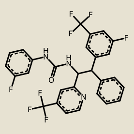 O=C(Nc1cccc(F)c1)NC(c1cc(C(F)(F)F)ccn1)C(c1ccccc1)c1cc(F)cc(C(F)(F)F)c1